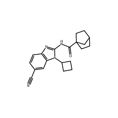 N#Cc1ccc2nc(NC(=O)C34CCC(CC3)C4)n(C3CCC3)c2c1